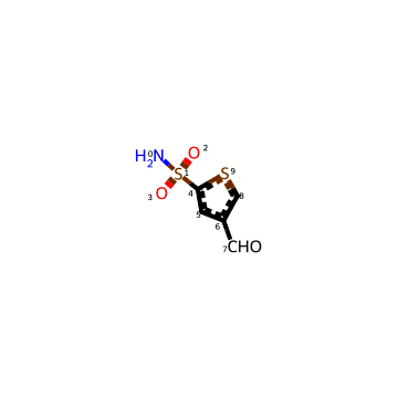 NS(=O)(=O)c1cc(C=O)cs1